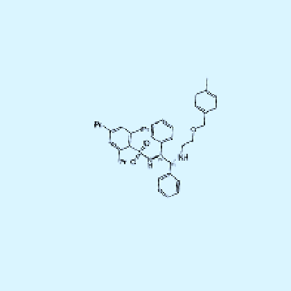 CC1=CCC(COCCN[C@H](c2ccccc2)[C@@H](NS(=O)(=O)c2c(C(C)C)cc(C(C)C)cc2C(C)C)c2ccccc2)=CC1